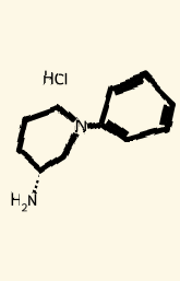 Cl.N[C@@H]1CCCN(c2ccccc2)C1